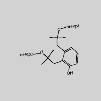 CCCCCCCOC(C)(C)Cc1cccc(O)c1CC(C)(C)OCCCCCCC